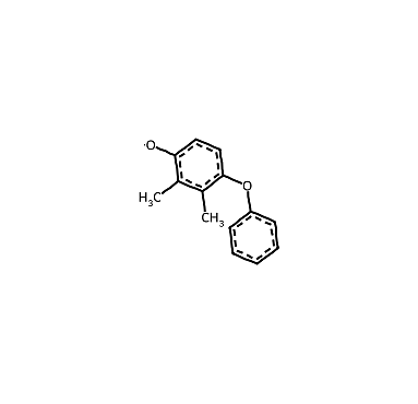 Cc1c([O])ccc(Oc2ccccc2)c1C